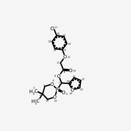 CC1(C)COP(=O)(C(OC(=O)COc2ccc(Cl)cc2)c2ccco2)OC1